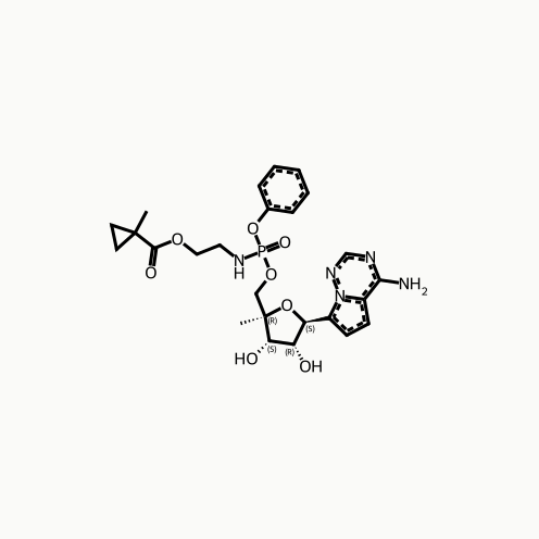 CC1(C(=O)OCCNP(=O)(OC[C@@]2(C)O[C@@H](c3ccc4c(N)ncnn34)[C@H](O)[C@@H]2O)Oc2ccccc2)CC1